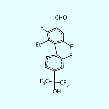 CCc1c(F)c(C=O)cc(F)c1-c1ccc(C(O)(C(F)(F)F)C(F)(F)F)cc1F